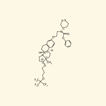 C[C@]12CC[C@@H]3c4ccc(OCCN(C(=O)Oc5ccccc5)[C@H]5CCSSC5)cc4CC[C@H]3[C@@H]1CC[C@@H]2OCCCOC(C(F)(F)F)(C(F)(F)F)C(F)(F)F